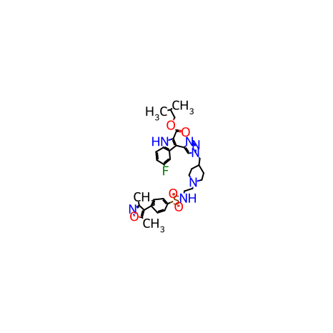 Cc1noc(C)c1-c1ccc(S(=O)(=O)NCCN2CCC(Cn3cc(-c4c(C(=O)OCC(C)C)[nH]c5ccc(F)cc45)nn3)CC2)cc1